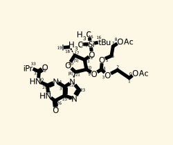 CC(=O)OCCOC(OCCOC(C)=O)OC1C(O[Si](C)(C)C(C)(C)C)[C@@H](CI)O[C@H]1n1cnc2c(=O)[nH]c(NC(=O)C(C)C)nc21